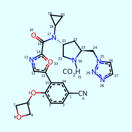 N#Cc1ccc(OC2COC2)c(-c2cnc(C(=O)N(C3CC3)[C@@H]3C[C@@H](Cn4ccnn4)N(C(=O)O)C3)o2)c1